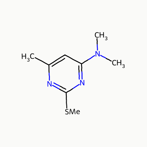 CSc1nc(C)cc(N(C)C)n1